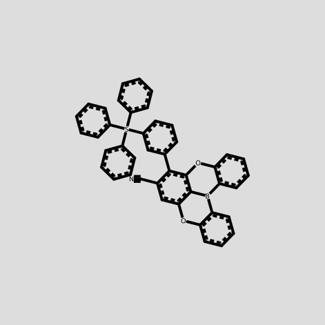 N#Cc1cc2c3c(c1-c1cccc(S(c4ccccc4)(c4ccccc4)c4ccccc4)c1)Oc1ccccc1B3c1ccccc1O2